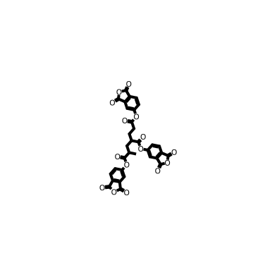 CC(CC(CCC(=O)Oc1ccc2c(c1)C(=O)OC2=O)C(=O)Oc1ccc2c(c1)C(=O)OC2=O)C(=O)Oc1ccc2c(c1)C(=O)OC2=O